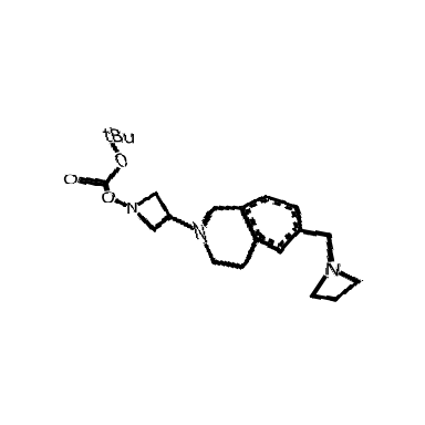 CC(C)(C)OC(=O)ON1CC(N2CCc3cc(CN4CCC4)ccc3C2)C1